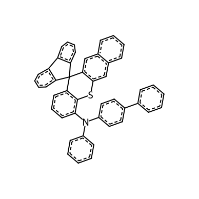 c1ccc(-c2ccc(N(c3ccccc3)c3cccc4c3Sc3cc5ccccc5cc3C43c4ccccc4-c4ccccc43)cc2)cc1